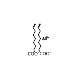 C=CCCCCCCC(=O)[O-].C=CCCCCCCC(=O)[O-].[Al+3].[Cl-]